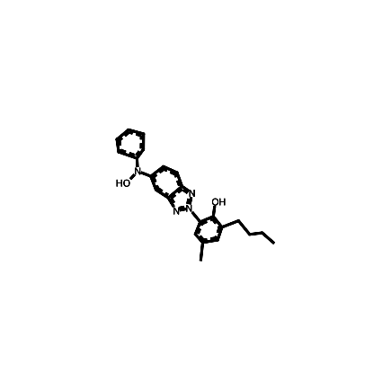 CCCCc1cc(C)cc(-n2nc3ccc(N(O)c4ccccc4)cc3n2)c1O